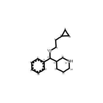 c1ccc(C(OCCC2CC2)C2CCCNC2)cc1